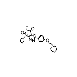 O=c1[nH]c(=O)n(C2CCCC2)c2nnc(-c3ccc(OCCN4CCCCC4)cc3)nc12